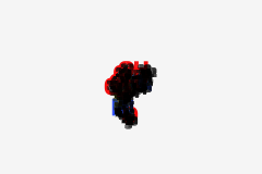 CC(C)(C)Oc1ccnc(C(CC(=O)CC(SCCS(=O)(=O)O)c2ccnc(OC(C)(C)C)n2)SCCS(=O)(=O)O)n1